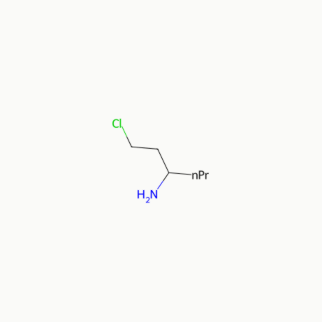 CCCC(N)CCCl